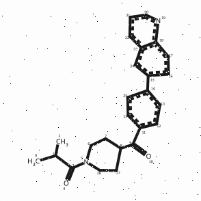 CC(C)C(=O)N1CCC(C(=O)c2ccc(-c3ccc4ncccc4c3)cc2)CC1